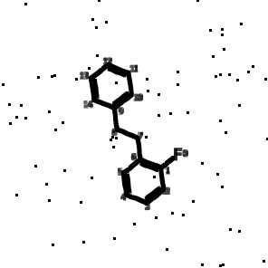 Fc1[c]cccc1CCc1ccccc1